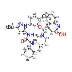 Cc1ccc(-n2nc(C(C)(C)C)cc2NC(=O)Nc2ccccc2CC2CCN(C(=O)c3cc(O)nc4ccccc34)CC2)cc1